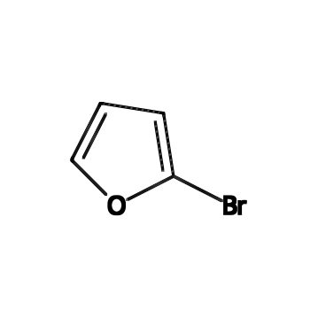 Brc1ccco1